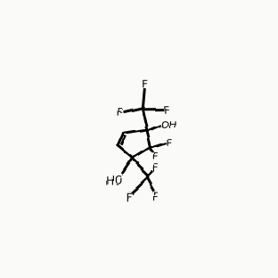 OC1(C(F)(F)F)C=CC(O)(C(F)(F)F)C1(F)F